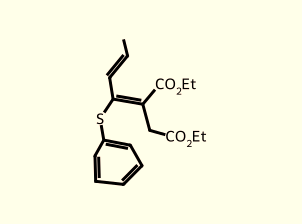 CC=CC(Sc1ccccc1)=C(CC(=O)OCC)C(=O)OCC